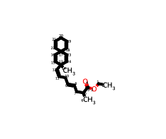 CCOC(=O)C(C)C/C=C/C/C=C\C1(C)C=CC2(C=CCC=C2)C=C1